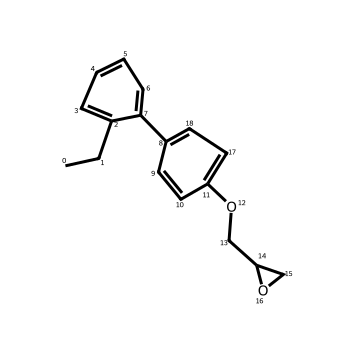 CCc1ccccc1-c1ccc(OCC2CO2)cc1